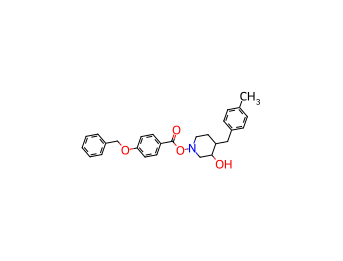 Cc1ccc(CC2CCN(OC(=O)c3ccc(OCc4ccccc4)cc3)CC2O)cc1